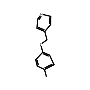 Cc1ccc(SCc2ccncc2)cc1